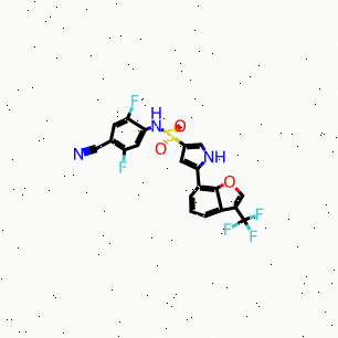 N#Cc1cc(F)c(NS(=O)(=O)c2c[nH]c(-c3cccc4c(C(F)(F)F)coc34)c2)cc1F